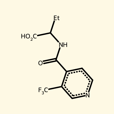 CCC(NC(=O)c1ccncc1C(F)(F)F)C(=O)O